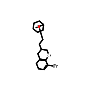 CC(C)C1=CCCC2=C1OCC(CCN1CC3CCC(CC3)C1)C2